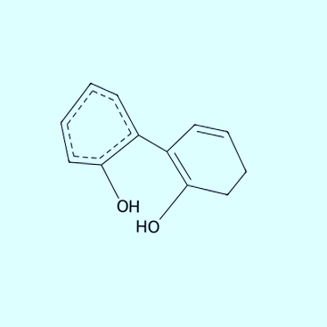 OC1=C(c2ccccc2O)C=CCC1